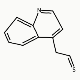 S=CCc1ccnc2ccccc12